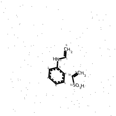 C=CNc1ccccc1.C=CS(=O)(=O)O